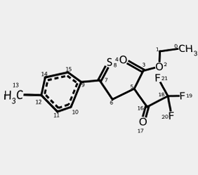 CCOC(=O)C(CC(=S)c1ccc(C)cc1)C(=O)C(F)(F)F